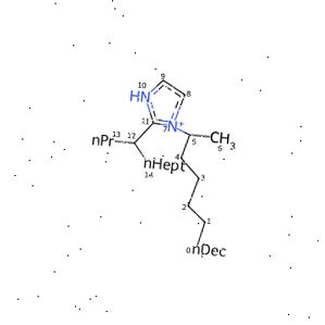 CCCCCCCCCCCCCCC(C)[n+]1cc[nH]c1C(CCC)CCCCCCC